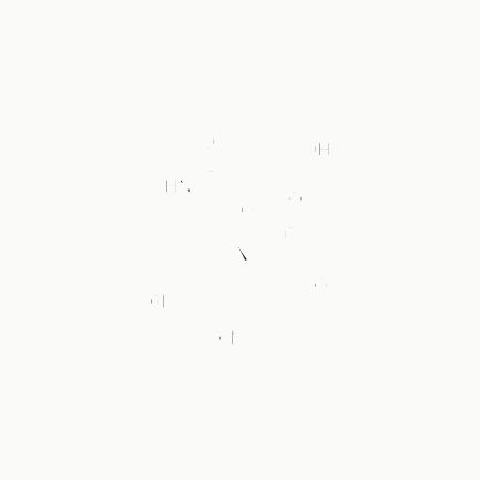 COc1cc(Cl)cc([C@@H]2O[C@@H](CC(=O)O)C(=O)Nc3ccc(Cl)cc32)c1OC